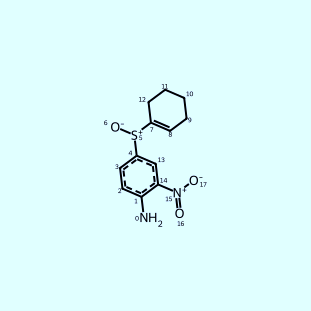 Nc1ccc([S+]([O-])C2=CCCCC2)cc1[N+](=O)[O-]